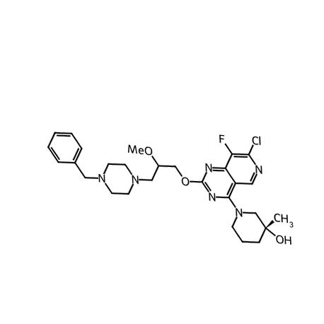 COC(COc1nc(N2CCC[C@@](C)(O)C2)c2cnc(Cl)c(F)c2n1)CN1CCN(Cc2ccccc2)CC1